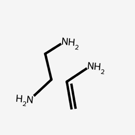 C=CN.NCCN